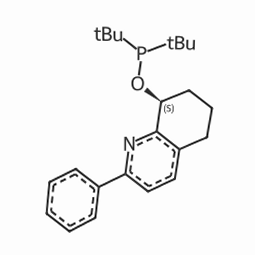 CC(C)(C)P(O[C@H]1CCCc2ccc(-c3ccccc3)nc21)C(C)(C)C